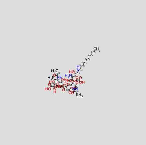 CCCCCCCCCCCCNCC(O)C1OC(OC(CO)C(O)C2OC(OC(CO)C(O)C(OC[C@H](O)C(=O)O)C(NC(=O)CC)C(C)O)(C(=O)O)CC(O)C2NC(=O)CC)(C(=O)O)CC(O)C1N